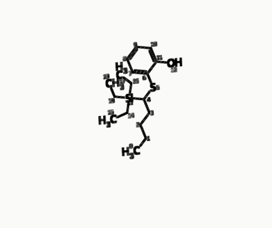 CCCCC(Sc1ccccc1O)[Si](CC)(CC)CC